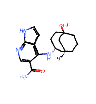 NC(=O)c1cnc2[nH]ccc2c1N[C@@H]1CC[C@]2(O)CCC[C@H]1C2